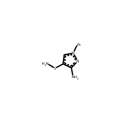 CC(C)n1cc(SN)c(N)n1